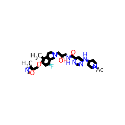 CC(=O)N1CCC(Nc2cc(C(=O)NC[C@H](O)CN3CCc4c(C)c(OCc5ocnc5C)cc(F)c4C3)ncn2)CC1